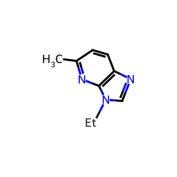 CCn1cnc2ccc(C)nc21